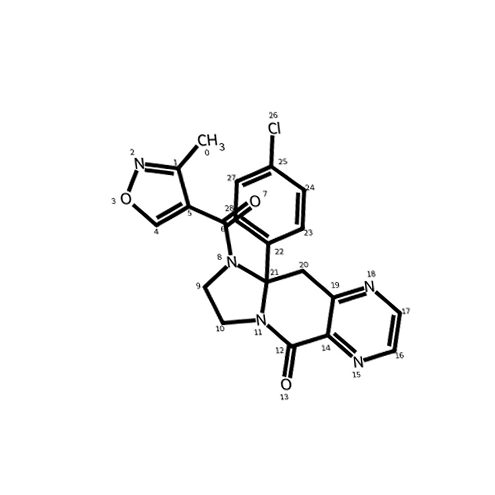 Cc1nocc1C(=O)N1CCN2C(=O)c3nccnc3CC12c1ccc(Cl)cc1